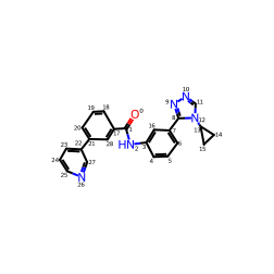 O=C(Nc1cccc(-c2nncn2C2CC2)c1)c1cccc(-c2cccnc2)c1